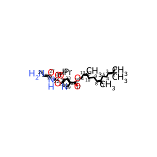 CC(C)=CCCC(C)=CCCC(C)=CCOC(=O)c1cnc(OC(=O)NC(=O)CN)c(OC(C)C)c1